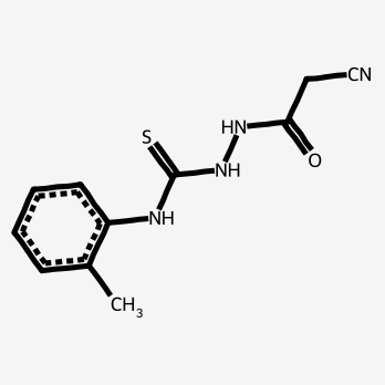 Cc1ccccc1NC(=S)NNC(=O)CC#N